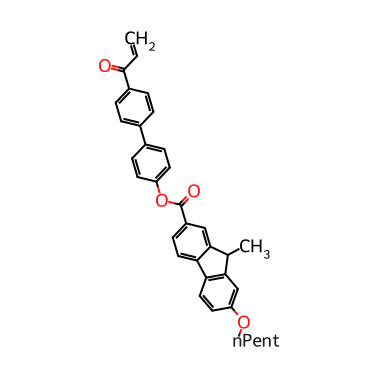 C=CC(=O)c1ccc(-c2ccc(OC(=O)c3ccc4c(c3)C(C)c3cc(OCCCCC)ccc3-4)cc2)cc1